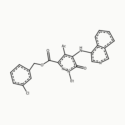 CCn1nc(C(=O)OCc2cccc(Cl)c2)c(C(C)=O)c(Nc2cncc3ccccc23)c1=O